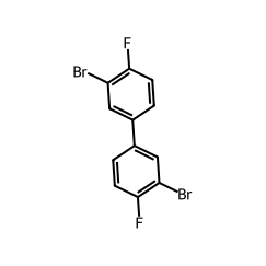 Fc1ccc(-c2ccc(F)c(Br)c2)cc1Br